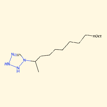 CCCCCCCCCCCCCCCC(C)N1C=NNN1